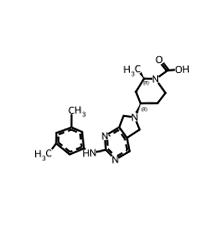 Cc1cc(C)cc(Nc2ncc3c(n2)CN([C@@H]2CCN(C(=O)O)[C@H](C)C2)C3)c1